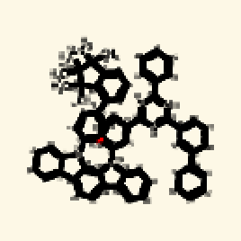 CC1(C)c2cccc(-c3ccc(-n4c5ccccc5c5ccc6c7ccccc7n(-c7cccc(-c8nc(-c9ccccc9)nc(-c9cccc(-c%10ccccc%10)c9)n8)c7)c6c54)cc3)c2C(C)(C)C1(C)C